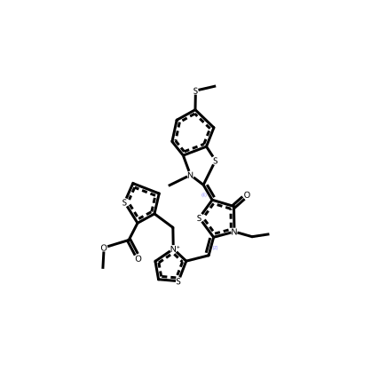 CCn1c(=O)/c(=C2\Sc3cc(SC)ccc3N2C)s/c1=C\c1scc[n+]1Cc1ccsc1C(=O)OC